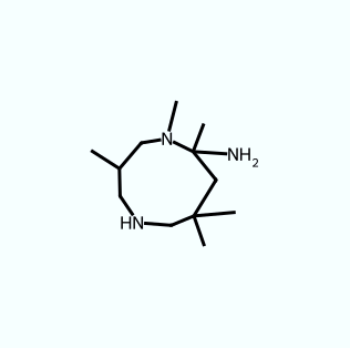 CC1CNCC(C)(C)CC(C)(N)N(C)C1